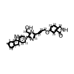 N[C@@H]1c2ccccc2CC12CCN(c1ncc(C#CCOc3ccc4c(c3)C(=O)NC4)nc1CO)CC2